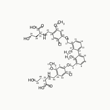 COc1cc(OCc2cccc(-c3cccc(COc4cc(OC)c(CN[C@@H](CCO)C(=O)O)cc4Cl)c3C)c2C)c(Cl)cc1CN[C@@H](CCO)C(=O)O